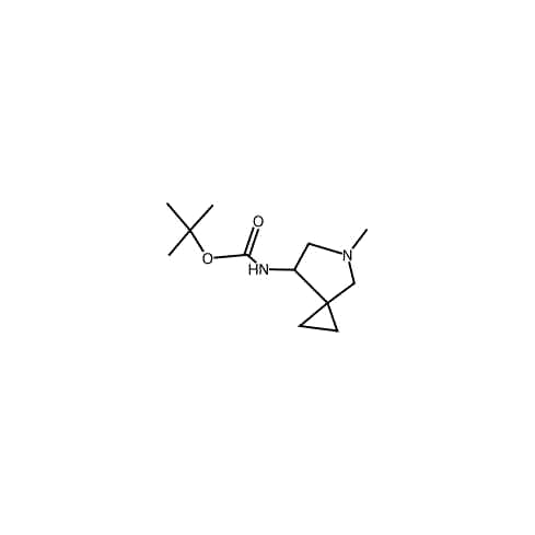 CN1CC(NC(=O)OC(C)(C)C)C2(CC2)C1